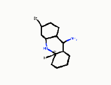 CCC1CCC2C(C1)N[C@H]1CCCCC1C2N